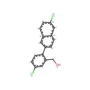 OCc1cc(Cl)ccc1-c1ccc2cc(Cl)ccc2c1